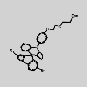 COCCOCCOc1ccc(N2c3ccccc3C3(c4cc(Br)ccc4-c4ccc(Br)cc43)c3ccccc32)cc1